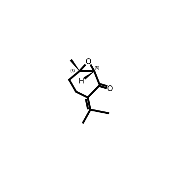 CC(C)=C1CC[C@]2(C)O[C@@H]2C1=O